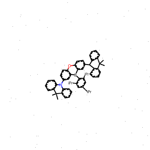 CC(C)c1cc(C(C)C)c(B2c3cc(C4c5ccccc5C(C)(C)c5ccccc54)ccc3Oc3ccc(N4c5ccccc5C(C)(C)c5ccccc54)cc32)c(C(C)C)c1